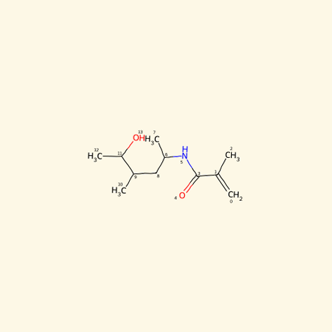 C=C(C)C(=O)NC(C)CC(C)C(C)O